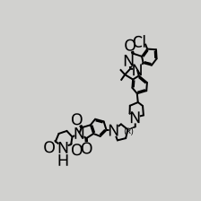 CC1(C)c2cc(C3CCN(C[C@H]4CCN(c5ccc6c(c5)C(=O)N(C5CCC(=O)NC5=O)C6=O)C4)CC3)ccc2-n2c1nc(=O)c1c(Cl)cccc12